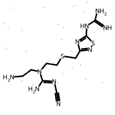 N#CN=C(N)N(CCN)CCSCc1nsc(NC(=N)N)n1